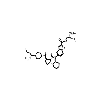 CO[C@@H](C)COC(=O)c1cc2cc(NC(=O)[C@@H]3[C@H](C4CCCCC4)CCN3C(=O)[C@H]3CC[C@H]([C@H](N)CCF)CC3)ccc2o1